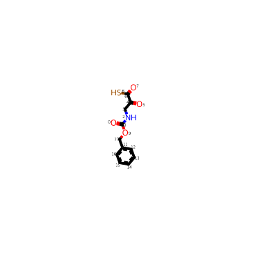 O=C(NCC(=O)C(=O)S)OCc1ccccc1